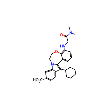 CN(C)C(=O)CNc1cccc2c1OCCn1c-2c(C2CCCCC2)c2ccc(C(=O)O)cc21